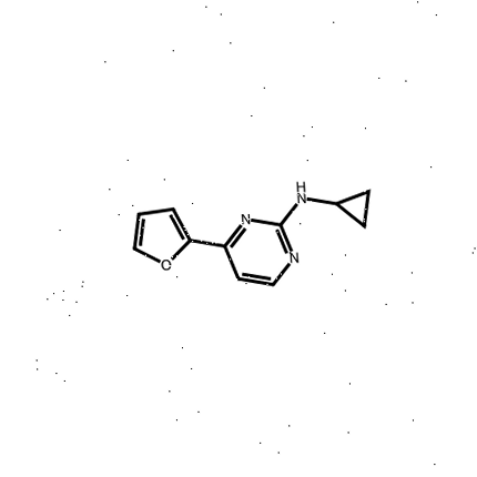 c1coc(-c2ccnc(NC3CC3)n2)c1